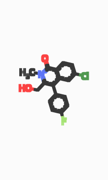 Cn1c(CO)c(-c2ccc(F)cc2)c2cc(Cl)ccc2c1=O